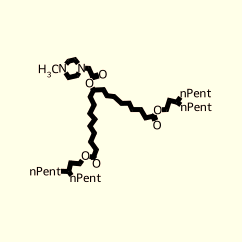 CCCCCC(CCCCC)CCOC(=O)CCCCCCCCC(CCCCCCCCC(=O)OCCC(CCCCC)CCCCC)OC(=O)CN1CCN(C)CC1